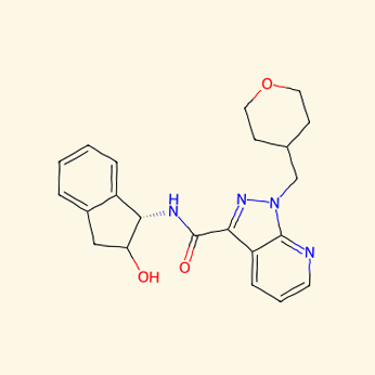 O=C(N[C@H]1c2ccccc2CC1O)c1nn(CC2CCOCC2)c2ncccc12